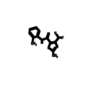 Cc1nc(C(F)F)c(C(=O)Nc2ccccc2C)s1